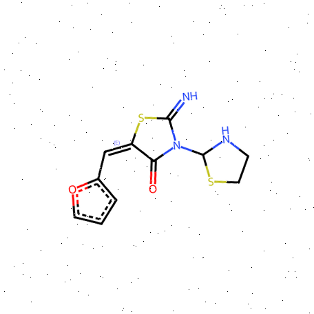 N=C1S/C(=C/c2ccco2)C(=O)N1C1NCCS1